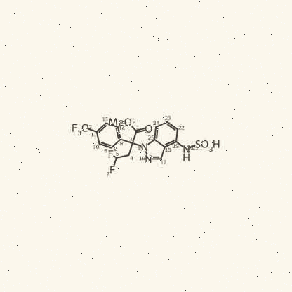 COC(=O)C(CC(F)F)(c1ccc(C(F)(F)F)cc1)n1ncc2c(NS(=O)(=O)O)cccc21